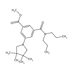 CCCN(CCC)C(=O)c1cc(B2CC(C)(C)C(C)(C)C2)cc(C(=O)OC)c1